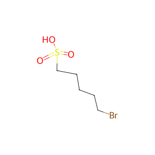 O=S(=O)(O)CCCCCBr